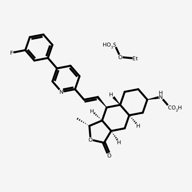 CCOS(=O)(=O)O.C[C@H]1OC(=O)[C@@H]2C[C@@H]3C[C@H](NC(=O)O)CC[C@H]3[C@H](/C=C/c3ccc(-c4cccc(F)c4)cn3)[C@H]12